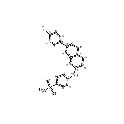 NS(=O)(=O)c1ccc(Nc2ncc3ccc(-c4ccc(F)nc4)cc3n2)cc1